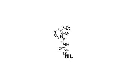 CCSC1CCOCN(CCNC(=O)CON)C1=O